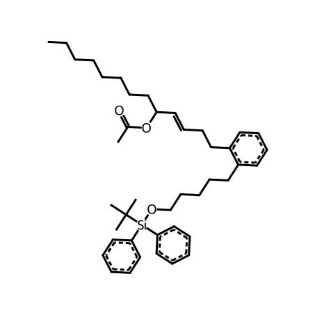 CCCCCCCCC(/C=C/CCc1ccccc1CCCCCO[Si](c1ccccc1)(c1ccccc1)C(C)(C)C)OC(C)=O